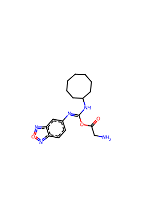 NCC(=O)OC(=Nc1ccc2nonc2c1)NC1CCCCCCC1